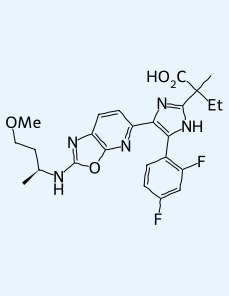 CCC(C)(C(=O)O)c1nc(-c2ccc3nc(N[C@@H](C)CCOC)oc3n2)c(-c2ccc(F)cc2F)[nH]1